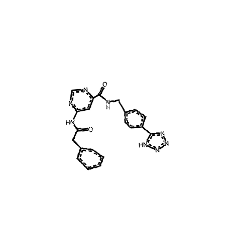 O=C(Cc1ccccc1)Nc1cc(C(=O)NCc2ccc(-c3nnn[nH]3)cc2)ncn1